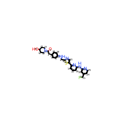 O=C(Cc1ccc(NCc2ncc(-c3cccc(Nc4cc(CF)ccn4)n3)s2)cc1)N1CCC(O)CC1